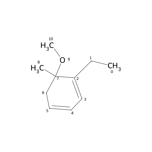 CCC1=CC=CCC1(C)OC